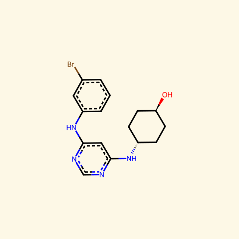 O[C@H]1CC[C@H](Nc2cc(Nc3cccc(Br)c3)ncn2)CC1